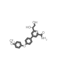 NC(=O)c1cc(-c2ccc(Oc3ccc(OC(F)(F)F)cc3)cc2)cc([C@H](O)CO)n1